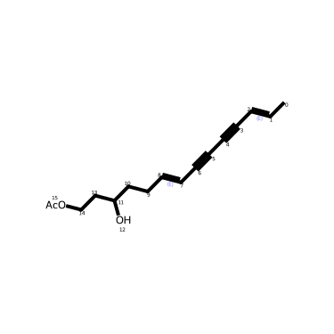 C/C=C/C#CC#C/C=C/CCC(O)CCOC(C)=O